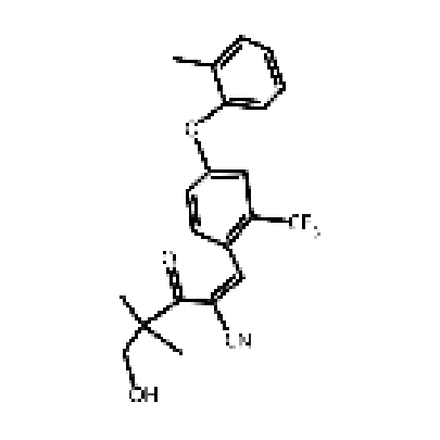 Cc1ccccc1Oc1ccc(C=C(C#N)C(=O)C(C)(C)CO)c(C(F)(F)F)c1